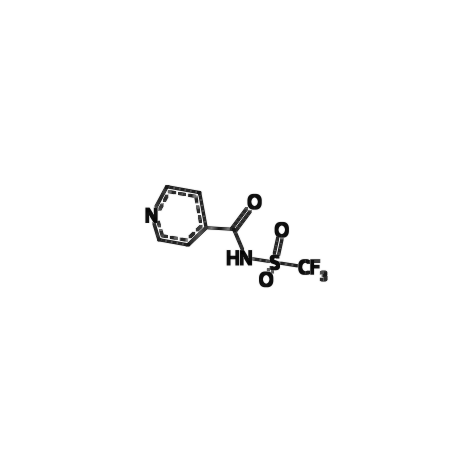 O=C(NS(=O)(=O)C(F)(F)F)c1ccncc1